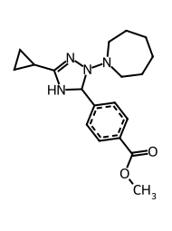 COC(=O)c1ccc(C2NC(C3CC3)=NN2N2CCCCCC2)cc1